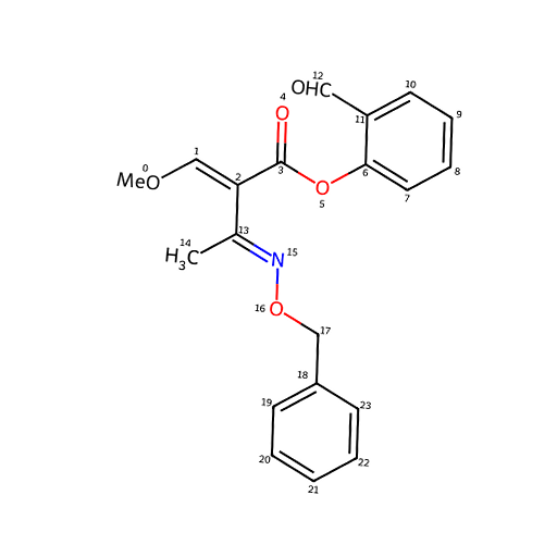 COC=C(C(=O)Oc1ccccc1C=O)C(C)=NOCc1ccccc1